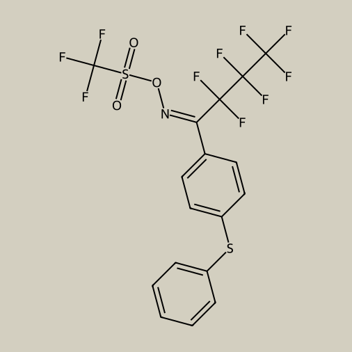 O=S(=O)(ON=C(c1ccc(Sc2ccccc2)cc1)C(F)(F)C(F)(F)C(F)(F)F)C(F)(F)F